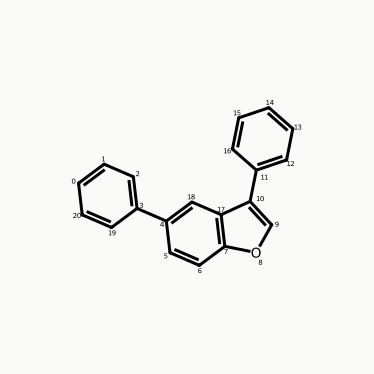 c1ccc(-c2ccc3occ(-c4ccccc4)c3c2)cc1